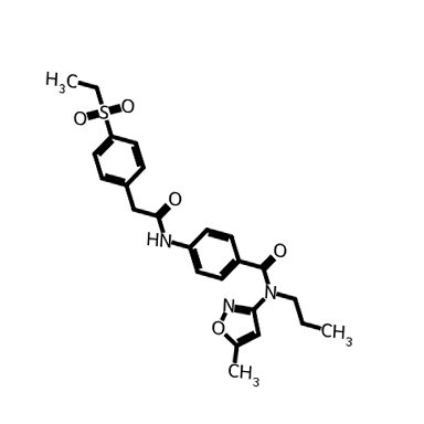 CCCN(C(=O)c1ccc(NC(=O)Cc2ccc(S(=O)(=O)CC)cc2)cc1)c1cc(C)on1